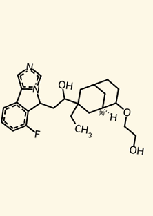 CCC1(C(O)CC2c3c(F)cccc3-c3cncn32)CC2CCC(OCCO)[C@H](C2)C1